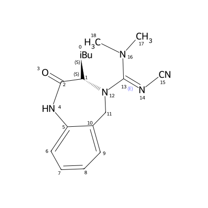 CC[C@H](C)[C@H]1C(=O)Nc2ccccc2CN1/C(=N/C#N)N(C)C